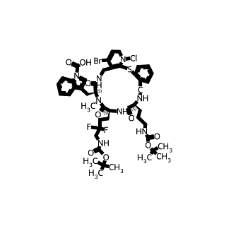 CN1C(=O)[C@H](CCC(F)(F)CNC(=O)OC(C)(C)C)NC(=O)[C@H](CCCNC(=O)OC(C)(C)C)NCc2ccccc2SC2=C(CNC(=O)[C@@H]1Cc1cn(C(=O)O)c3ccccc13)C(Br)=CCN2Cl